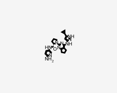 Nc1ccc(NC(=O)[C@@H]2CCCN2c2nc3c(c(Nc4cc(C5CC5)[nH]n4)n2)CCC3)cn1